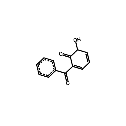 O=C(C1=CC=CC(O)C1=O)c1ccccc1